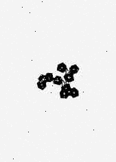 c1ccc(-n2c3ccccc3c3ccc(N(c4ccc(-c5ccc6ccc7ccccc7c6c5)cc4)c4cc5c6c(cccc6c4)-c4ccccc4-5)cc32)cc1